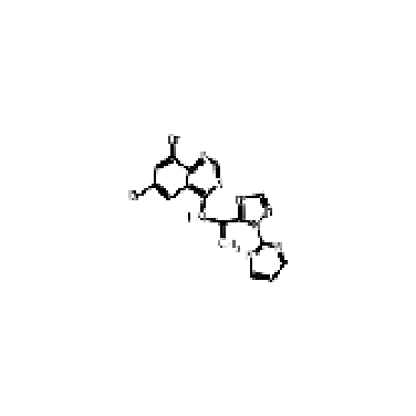 CC(Nc1ncnc2c(Br)cc(Br)cc12)c1ncnn1-c1ncccn1